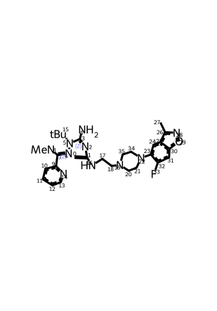 C=C(/N=C(/N)N(/N=C(\NC)c1ccccn1)C(C)(C)C)NCCN1CCN(c2cc3c(C)noc3cc2F)CC1